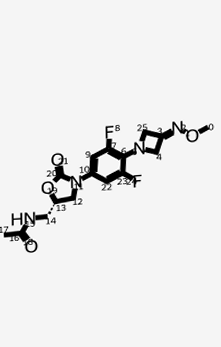 CON=C1CN(c2c(F)cc(N3C[C@H](CNC(C)=O)OC3=O)cc2F)C1